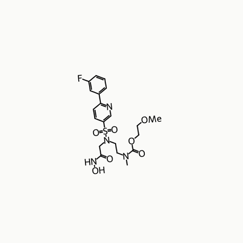 COCCOC(=O)N(C)CCN(CC(=O)NO)S(=O)(=O)c1ccc(-c2cccc(F)c2)nc1